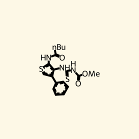 CCCCC(=O)Nc1scc(-c2ccccc2)c1NC(=S)NC(=O)OC